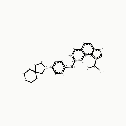 CC(C)n1cnc2ccc3cnc(Nc4ccc(N5CCC6(CCNCC6)C5)cn4)nc3c21